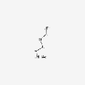 CC(=O)NCCOCC(C)C